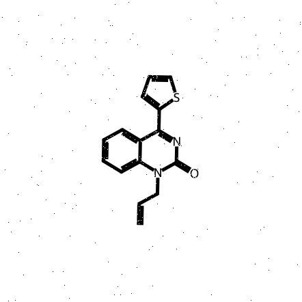 C=CCn1c(=O)nc(-c2cccs2)c2ccccc21